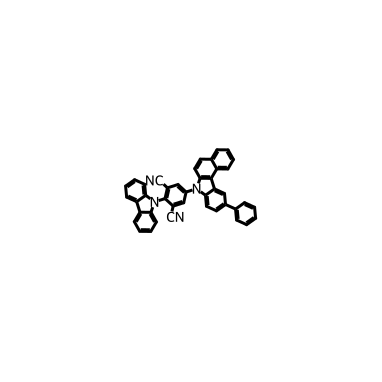 N#Cc1cc(-n2c3ccc(-c4ccccc4)cc3c3c4ccccc4ccc32)cc(C#N)c1-n1c2ccccc2c2ccccc21